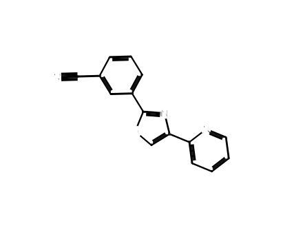 N#Cc1cccc(-c2nc(-c3ccccn3)co2)c1